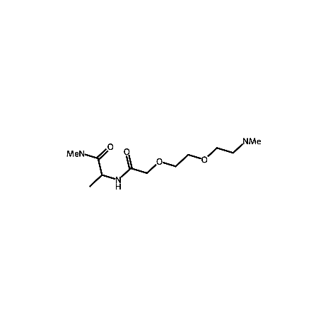 CNCCOCCOCC(=O)NC(C)C(=O)NC